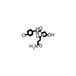 NC(=O)CCC(=O)N1C[C@H](O)C[C@H]1C(=O)NCc1ccc(Cl)cc1